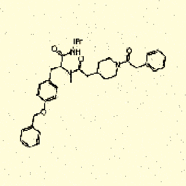 CC(C)NC(=O)[C@H](Cc1ccc(OCc2ccccc2)cc1)NC(=O)CC1CCN(C(=O)Cc2ccccc2)CC1